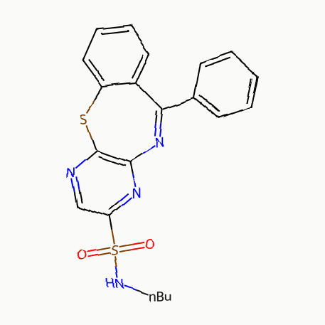 CCCCNS(=O)(=O)c1cnc2c(n1)N=C(c1ccccc1)c1ccccc1S2